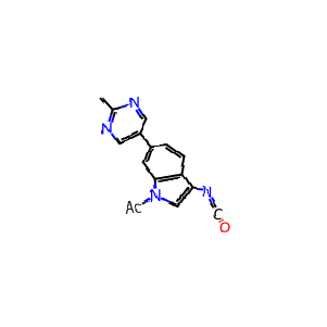 CC(=O)n1cc(N=C=O)c2ccc(-c3cnc(C)nc3)cc21